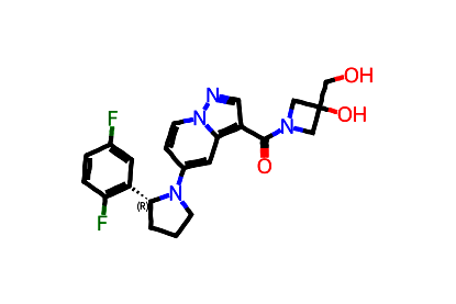 O=C(c1cnn2ccc(N3CCC[C@@H]3c3cc(F)ccc3F)cc12)N1CC(O)(CO)C1